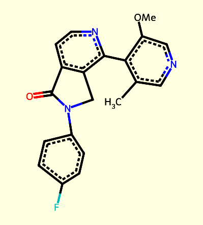 COc1cncc(C)c1-c1nccc2c1CN(c1ccc(F)cc1)C2=O